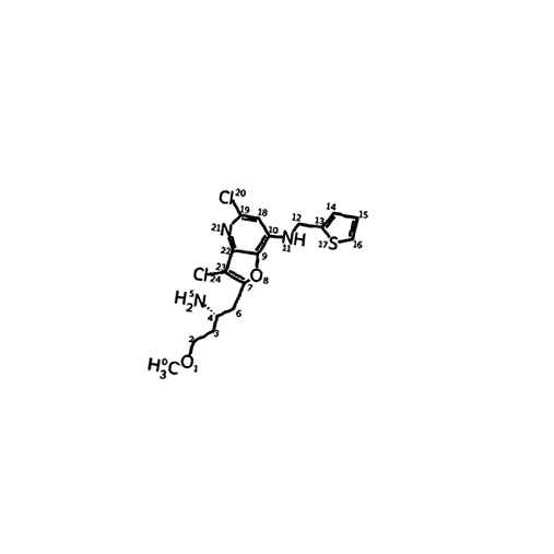 COCC[C@H](N)Cc1oc2c(NCc3cccs3)cc(Cl)nc2c1Cl